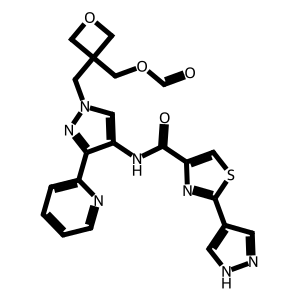 O=COCC1(Cn2cc(NC(=O)c3csc(-c4cn[nH]c4)n3)c(-c3ccccn3)n2)COC1